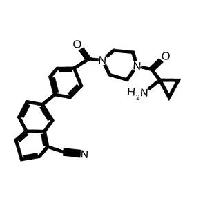 N#Cc1cccc2ccc(-c3ccc(C(=O)N4CCN(C(=O)C5(N)CC5)CC4)cc3)cc12